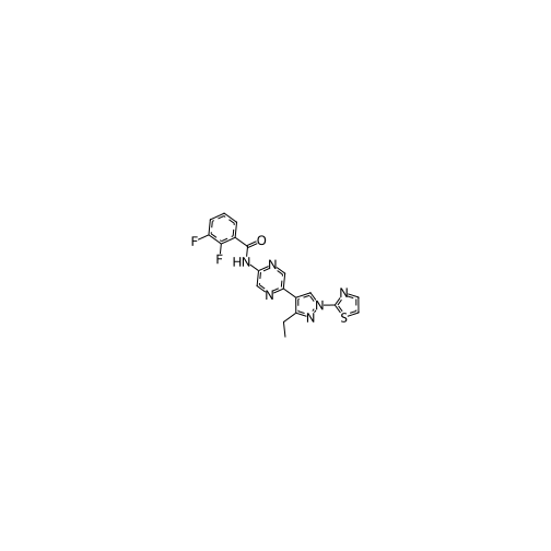 CCc1nn(-c2nccs2)cc1-c1cnc(NC(=O)c2cccc(F)c2F)cn1